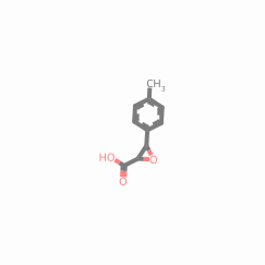 Cc1ccc(C2OC2C(=O)O)cc1